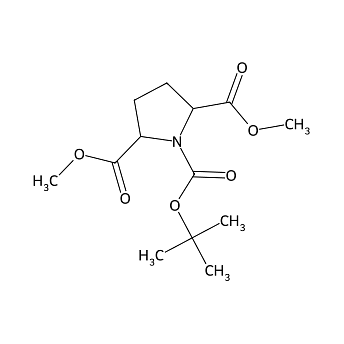 COC(=O)C1CCC(C(=O)OC)N1C(=O)OC(C)(C)C